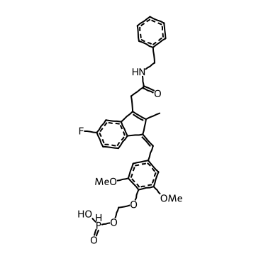 COc1cc(/C=C2/C(C)=C(CC(=O)NCc3ccccc3)c3cc(F)ccc32)cc(OC)c1OCO[PH](=O)O